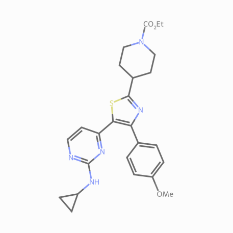 CCOC(=O)N1CCC(c2nc(-c3ccc(OC)cc3)c(-c3ccnc(NC4CC4)n3)s2)CC1